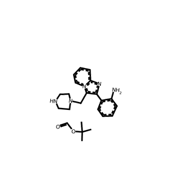 CC(C)(C)OC=O.Nc1ccccc1-c1nc2ccccn2c1CN1CCNCC1